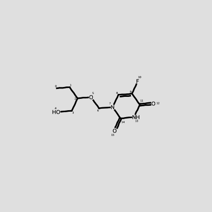 CCC(CO)OCn1cc(F)c(=O)[nH]c1=O